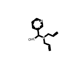 C=CCN(CC=C)C(C=O)c1cccnc1